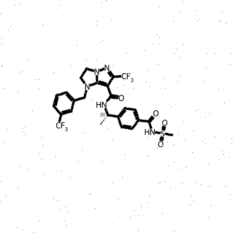 C[C@H](NC(=O)c1c(C(F)(F)F)nn2c1N(Cc1cccc(C(F)(F)F)c1)CC2)c1ccc(C(=O)NS(C)(=O)=O)cc1